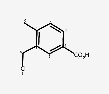 Cc1ccc(C(=O)O)cc1CCl